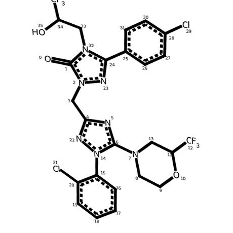 O=c1n(Cc2nc(N3CCOC(C(F)(F)F)C3)n(-c3ccccc3Cl)n2)nc(-c2ccc(Cl)cc2)n1CC(O)C(F)(F)F